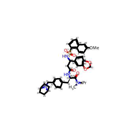 COc1ccc2c(S(=O)(=O)NC(CC(=O)N[C@H](Cc3ccc(CN4C5CCC4CC5)cc3)C(=O)N(C)C(C)C)c3ccc4c(c3)OCO4)cccc2c1